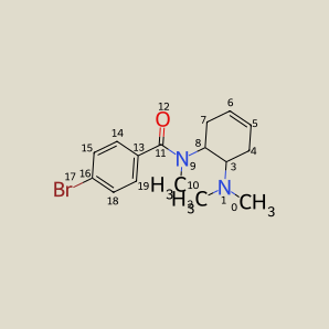 CN(C)C1CC=CCC1N(C)C(=O)c1ccc(Br)cc1